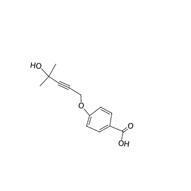 CC(C)(O)C#CCOc1ccc(C(=O)O)cc1